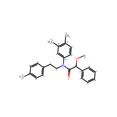 CCOC(C(=O)N(CCc1ccc(C(F)(F)F)cc1)c1ccc(C)c(C)c1)c1ccccc1